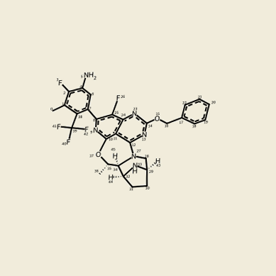 Cc1c(F)c(N)cc(-c2nc3c4c(nc(OCc5ccccc5)nc4c2F)N2C[C@H]4CC[C@H](N4)[C@H]2[C@H](C)O3)c1C(F)(F)F